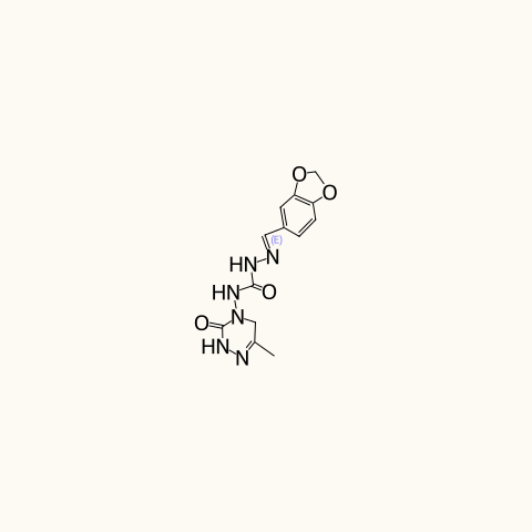 CC1=NNC(=O)N(NC(=O)N/N=C/c2ccc3c(c2)OCO3)C1